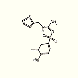 CC1CC(S(=O)(=O)/N=C(/N)NCc2cccs2)=CC=C1C(C)(C)C